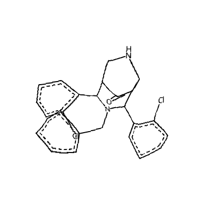 O=C1C2CNCC1C(c1ccccc1Cl)N(Cc1ccccc1)C2c1ccccc1Cl